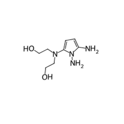 Nc1ccc(N(CCO)CCO)n1N